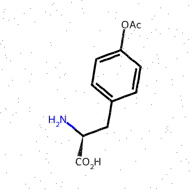 CC(=O)Oc1ccc(C[C@H](N)C(=O)O)cc1